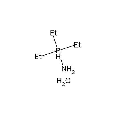 CC[PH](N)(CC)CC.O